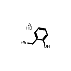 CC(C)(C)Cc1ccccc1O.Cl.[Zr]